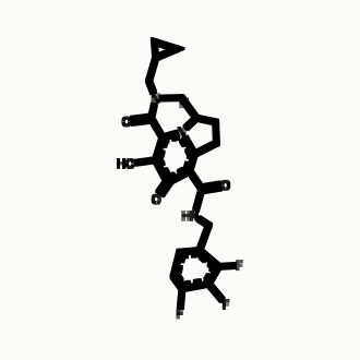 O=C(NCc1ccc(F)c(F)c1F)c1c2n3c(c(O)c1=O)C(=O)N(CC1CC1)C[C@H]3CC2